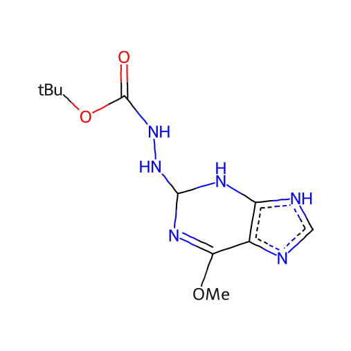 COC1=NC(NNC(=O)OC(C)(C)C)Nc2[nH]cnc21